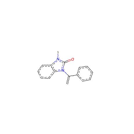 C=C(c1ccccc1)n1c(=O)n(C)c2ccccc21